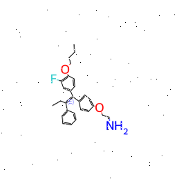 CCCCOc1ccc(/C(=C(\CC)c2ccccc2)c2ccc(OCCN)cc2)cc1F